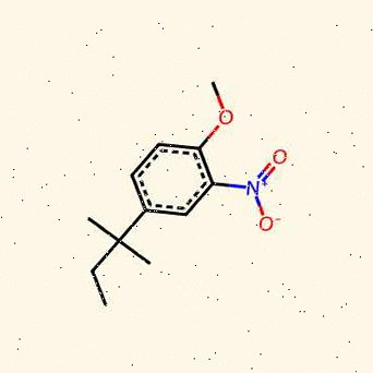 CCC(C)(C)c1ccc(OC)c([N+](=O)[O-])c1